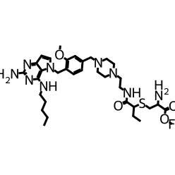 CCCCCNc1nc(N)nc2ccn(Cc3ccc(CN4CCN(CCNC(=O)C(CC)SCC(N)C(=O)OF)CC4)cc3OC)c12